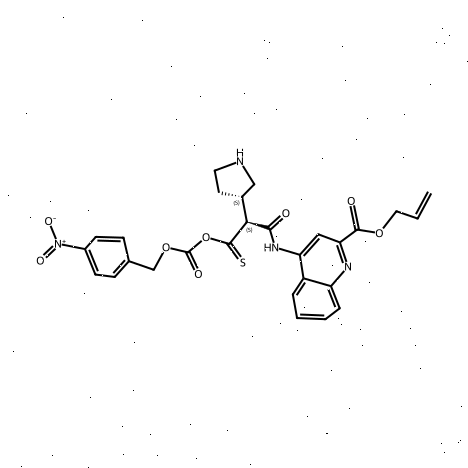 C=CCOC(=O)c1cc(NC(=O)[C@@H](C(=S)OC(=O)OCc2ccc([N+](=O)[O-])cc2)[C@@H]2CCNC2)c2ccccc2n1